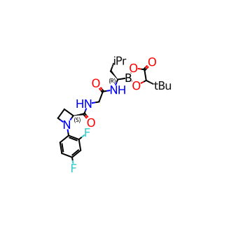 CC(C)C[C@H](NC(=O)CNC(=O)[C@@H]1CCN1c1ccc(F)cc1F)B1OC(=O)C(C(C)(C)C)O1